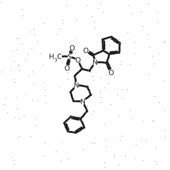 CS(=O)(=O)OC(CN1CCN(Cc2ccccc2)CC1)CN1C(=O)c2ccccc2C1=O